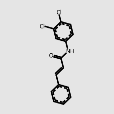 O=C(C=Cc1ccccc1)Nc1ccc(Cl)c(Cl)c1